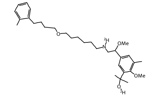 [2H]OC(C)(C)c1cc(C(CN([2H])CCCCCCOCCCCc2ccccc2C)OC)cc(C)c1OC